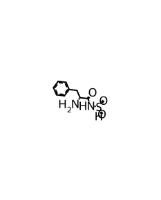 N[C@@H](Cc1ccccc1)C(=O)N[SH](=O)=O